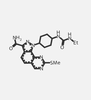 CCNC(=O)NC1CCC(n2nc(C(N)=O)c3ccc4cnc(SC)nc4c32)CC1